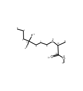 CCCC(F)(F)CCCSC(C)C(=O)OC